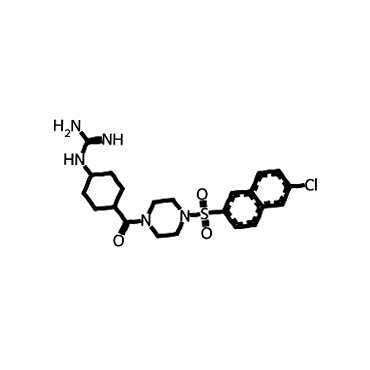 N=C(N)NC1CCC(C(=O)N2CCN(S(=O)(=O)c3ccc4cc(Cl)ccc4c3)CC2)CC1